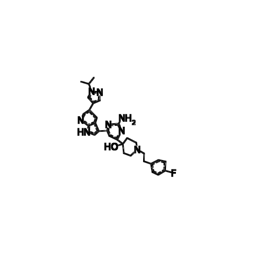 CC(C)n1cc(-c2cnc3[nH]cc(-c4cc(C5(O)CCN(CCc6ccc(F)cc6)CC5)nc(N)n4)c3c2)cn1